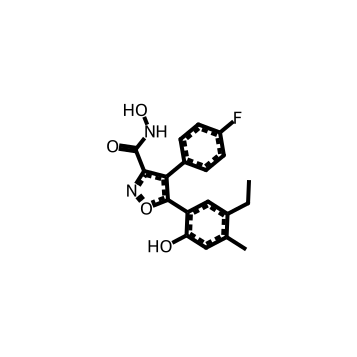 CCc1cc(-c2onc(C(=O)NO)c2-c2ccc(F)cc2)c(O)cc1C